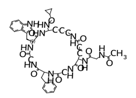 CC(=O)NCC(=O)NC1CCC(=O)NCCCC(NOC2CC2)NC(=O)[C@H](Cc2c[nH]c3ccccc23)NC(=O)CNC(=O)C(Cc2ccccc2)NC(=O)CNC1=O